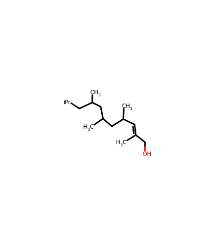 C/C(=C\C(C)CC(C)CC(C)CC(C)C)CO